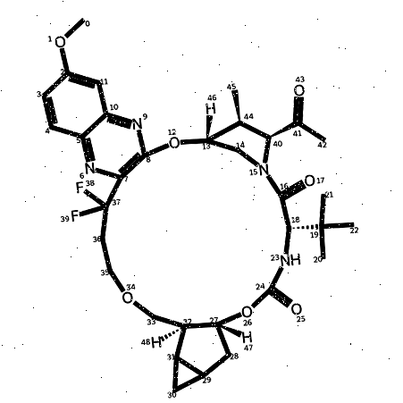 COc1ccc2nc3c(nc2c1)O[C@H]1CN(C(=O)[C@H](C(C)(C)C)NC(=O)O[C@@H]2CC4CC4[C@H]2COCCC3(F)F)[C@H](C(C)=O)[C@@H]1C